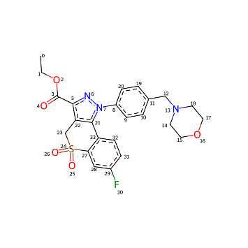 CCOC(=O)c1nn(-c2ccc(CN3CCOCC3)cc2)c2c1CS(=O)(=O)c1cc(F)ccc1-2